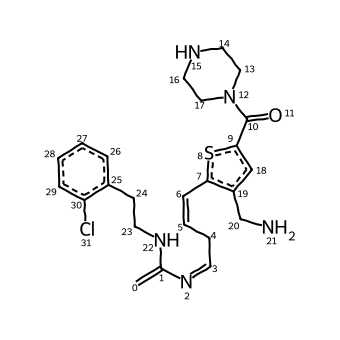 C=C(/N=C\C/C=C\c1sc(C(=O)N2CCNCC2)cc1CN)NCCc1ccccc1Cl